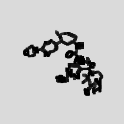 Cc1ccc(NC(=O)Nc2cn(C(C)(C)C)nc2C(=O)N2CCNC(=O)C2(C)C)cc1-c1ccc(N2CCOCC2)nc1